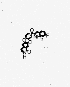 NC(Cc1ccc(F)cc1)C(=O)N1CCC(Oc2cc3cc[nH]c(=O)c3cc2Cl)CC1